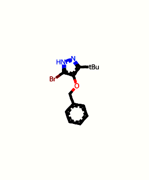 CC(C)(C)c1n[nH]c(Br)c1OCc1ccccc1